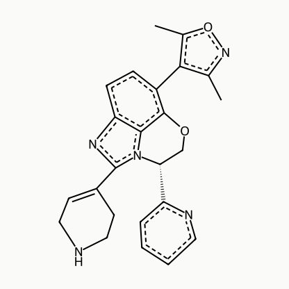 Cc1noc(C)c1-c1ccc2nc(C3=CCNCC3)n3c2c1OC[C@@H]3c1ccccn1